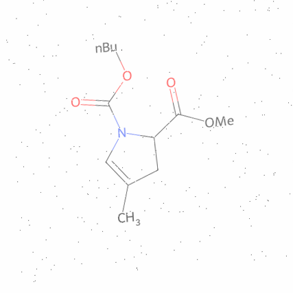 CCCCOC(=O)N1C=C(C)CC1C(=O)OC